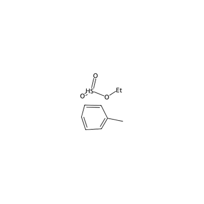 CCO[SH](=O)=O.Cc1ccccc1